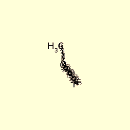 CCCCCCCCCCOc1ccc(-c2ccc([C@H]3CC[C@H](C(F)F)CC3)cc2)cc1